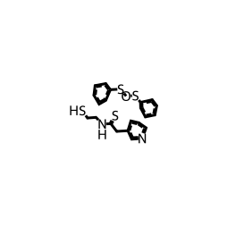 S=C(Cc1cccnc1)NCCS.c1ccc(SOSc2ccccc2)cc1